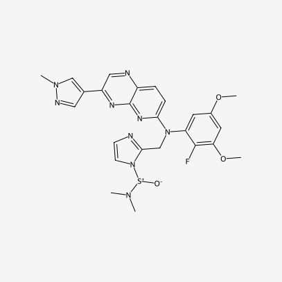 COc1cc(OC)c(F)c(N(Cc2nccn2[S+]([O-])N(C)C)c2ccc3ncc(-c4cnn(C)c4)nc3n2)c1